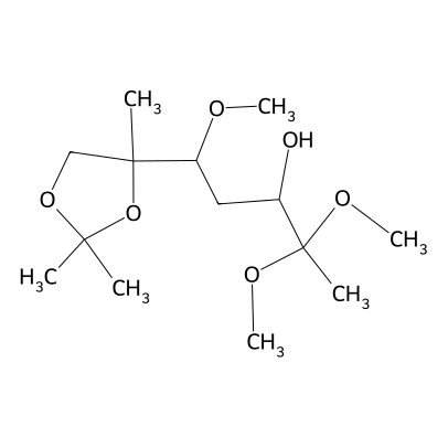 COC(CC(O)C(C)(OC)OC)C1(C)COC(C)(C)O1